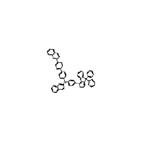 c1ccc(C2(c3ccccc3)c3ccccc3-c3c(-c4ccc(N(c5ccc(-c6ccc(-c7ccc8ccccc8c7)cc6)cc5)c5ccc6ccccc6c5)cc4)cccc32)cc1